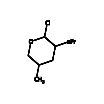 CCCC1CC(C)COC1Cl